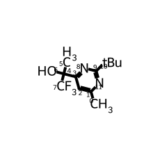 Cc1cc(C(C)(O)C(F)(F)F)nc(C(C)(C)C)n1